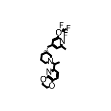 Cc1cc(C[C@H]2CCCN(C(C)c3ccc4c(n3)OCCO4)C2)cc(OC(F)(F)F)n1